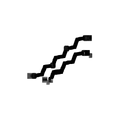 CC=CCCCC.OCCOCCOCCO